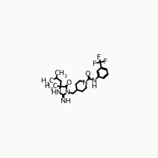 CC(C)CC1(C)NC(=N)N(CC2CCN(C(=O)Nc3cccc(C(F)(F)F)c3)CC2)C1=O